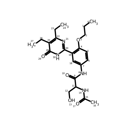 CCCOc1ccc(NC(=O)C(CO)NC(C)=O)cc1-c1nc(CC)c(CC)c(=O)[nH]1